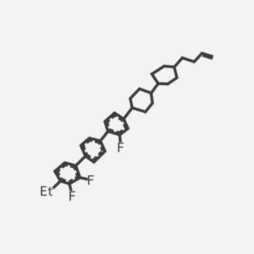 C=CCCC1CCC(C2CCC(c3ccc(-c4ccc(-c5ccc(CC)c(F)c5F)cc4)c(F)c3)CC2)CC1